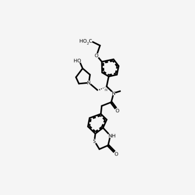 CN(C(=O)Cc1ccc2c(c1)NC(=O)CS2)[C@H](CN1CCC(O)C1)c1cccc(OCC(=O)O)c1